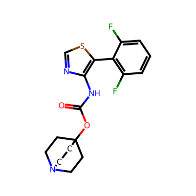 O=C(Nc1ncsc1-c1c(F)cccc1F)OC12CCN(CC1)CC2